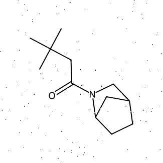 CC(C)(C)CC(=O)N1CC2CCC1C2